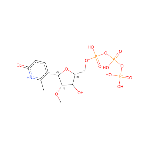 CO[C@H]1C(O)[C@@H](COP(=O)(O)OP(=O)(O)OP(=O)(O)O)O[C@H]1c1ccc(=O)[nH]c1C